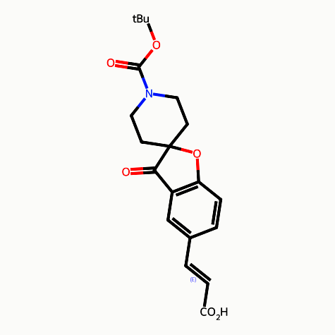 CC(C)(C)OC(=O)N1CCC2(CC1)Oc1ccc(/C=C/C(=O)O)cc1C2=O